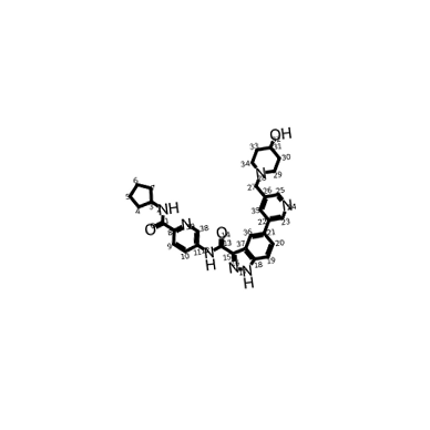 O=C(NC1CCCC1)c1ccc(NC(=O)c2n[nH]c3ccc(-c4cncc(CN5CCC(O)CC5)c4)cc23)cn1